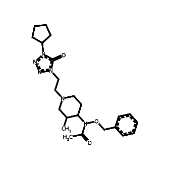 CC(=O)N(OCc1ccccc1)C1CCN(CCn2nnn(C3CCCC3)c2=O)CC1C